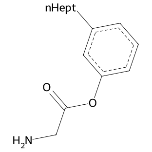 CCCCCCCc1cccc(OC(=O)CN)c1